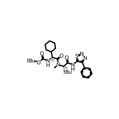 CN(C(=O)[C@@H](NC(=O)OC(C)(C)C)C1CCCCC1)[C@H](C(=O)Nc1snnc1-c1ccccc1)C(C)(C)C